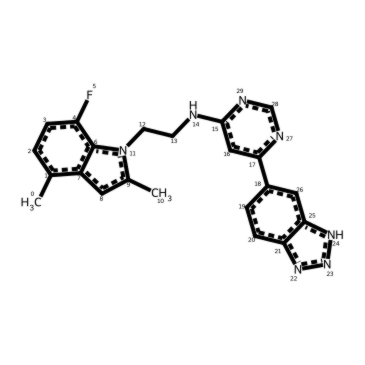 Cc1ccc(F)c2c1cc(C)n2CCNc1cc(-c2ccc3nn[nH]c3c2)ncn1